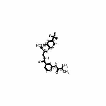 C#C[C@H](CNC(=O)c1ccnc(NC(=O)C(C)C)c1)Oc1ncc(C(F)(F)F)cc1Cl